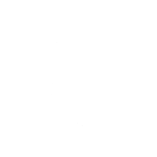 BCc1c([C@@H]2C[C@@H]2CCOC(=C)C)ccc(C)c1F